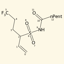 C=CC(CCC(F)(F)F)S(=O)(=O)NC(=O)CCCCC